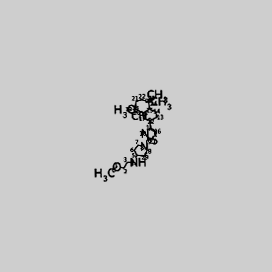 COCCNC1CCN(c2nc(C3CCC4C(C3)C(C)(C)CCC4(C)C)cs2)CC1